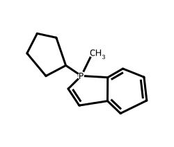 C[P]1(C2CCCC2)C=Cc2ccccc21